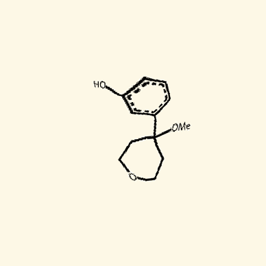 COC1(c2cccc(O)c2)CCOCC1